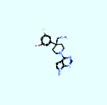 NCC1(c2cc(F)cc(Br)c2)CCN(c2ncnc3[nH]ccc23)CC1